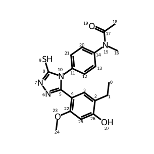 CCc1cc(-c2nnc(S)n2-c2ccc(N(C)C(C)=O)cc2)c(OC)cc1O